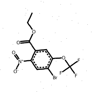 CCOC(=O)c1cc(OC(F)(F)F)c(Br)cc1[N+](=O)[O-]